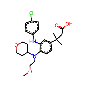 COCCN(c1ccc(C(C)(C)CC(=O)O)cc1Nc1ccc(Cl)cc1)C1CCOCC1